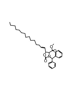 CCCCCCCCCCCCC/C=C/C1OC(=O)N(C(c2ccccc2)c2ccccc2)C1C(=O)OC